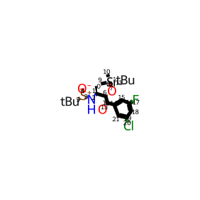 C[C@H](N[S+]([O-])C(C)(C)C)[C@H](O[Si](C)(C)C(C)(C)C)C(=O)c1cc(F)cc(Cl)c1